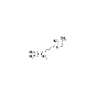 CCC(CC)C(N)CCCCCCCCC(N)C(CC)CC